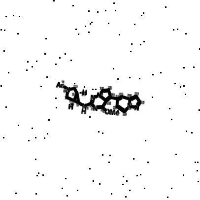 COc1nc(NC2[C@H]3CN(C(C)=O)C[C@@H]23)nn2ccc(-c3ccn4nccc4c3)c12